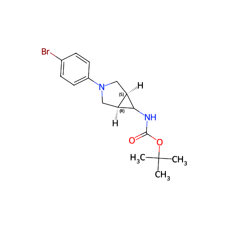 CC(C)(C)OC(=O)NC1[C@H]2CN(c3ccc(Br)cc3)C[C@@H]12